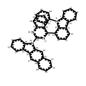 c1ccc(-n2c3ccccc3c3cccc(-c4nc(-n5c6ccccc6c6cc7ccccc7cc65)nc5ccccc45)c32)cc1